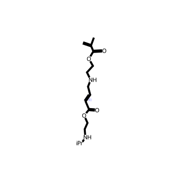 C=C(C)C(=O)OCCNC/C=C/C(=O)OCCNC(C)C